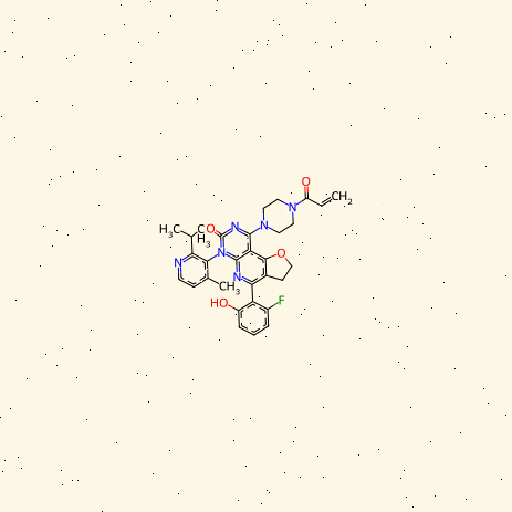 C=CC(=O)N1CCN(c2nc(=O)n(-c3c(C)ccnc3C(C)C)c3nc(-c4c(O)cccc4F)c4c(c23)OCC4)CC1